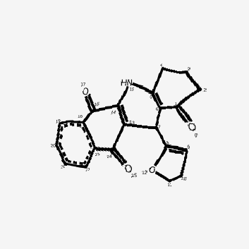 O=C1CCCC2=C1C(C1=CCCO1)C1=C(N2)C(=O)c2ccccc2C1=O